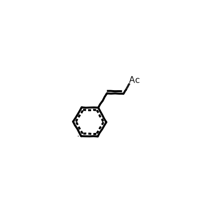 CC(=O)C=Cc1cc[c]cc1